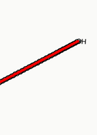 OCCOCCOCCOCCOCCOCCOCCOCCOCCOCCOCCOCCOCCOCCOCCOCCOCCOCCOCCOCCOCCOCCOCCOCCOCCOCCOCCOCCOCCOCCOCCOCCOCCOCCOCCOCCOCCOCCOCCOCCOCCOCCOCCOCCOCCOCCOCCOCCOCCO